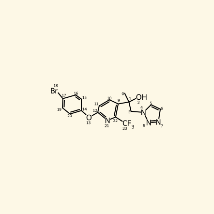 CC(O)(Cn1ccnn1)c1ccc(Oc2ccc(Br)cc2)nc1C(F)(F)F